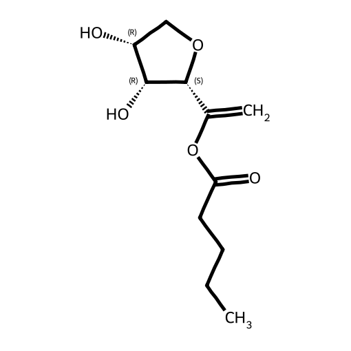 C=C(OC(=O)CCCC)[C@H]1OC[C@@H](O)[C@H]1O